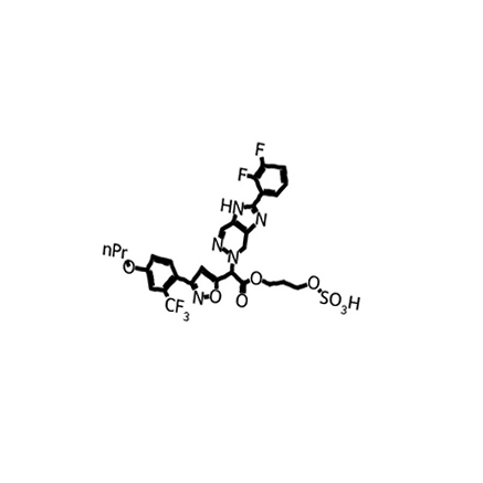 CCCOc1ccc(-c2cc(C(C(=O)OCCCOS(=O)(=O)O)N3Cc4nc(-c5cccc(F)c5F)[nH]c4C=N3)on2)c(C(F)(F)F)c1